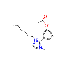 CC(=O)[O-].CCCCCC[n+]1ccn(C)c1-c1ccccc1